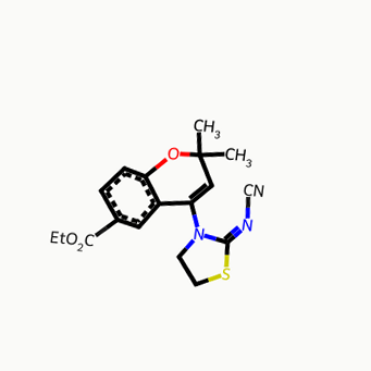 CCOC(=O)c1ccc2c(c1)C(N1CCS/C1=N/C#N)=CC(C)(C)O2